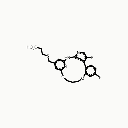 O=C(O)CCSCc1cc2nc(c1)OCCCOc1cc(F)ccc1-c1cc(ncc1F)N2